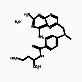 CN(Cc1cnc2nc(N)nc(N)c2n1)c1ccc(C(=O)NC(CCC(=O)O)C(=O)O)cc1.O